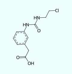 O=C(O)Cc1cccc(NC(=O)NCCCl)c1